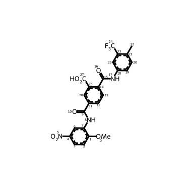 COc1ccc([N+](=O)[O-])cc1NC(=O)c1ccc(C(=O)Nc2ccc(C)c(C(F)(F)F)c2)c(C(=O)O)c1